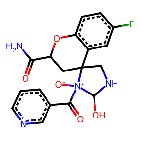 NC(=O)C1CC2(CNC(O)[N+]2([O-])C(=O)c2cccnc2)c2cc(F)ccc2O1